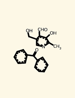 Cc1ncc(CO)c(C=O)c1O.O=C(c1ccccc1)c1ccccc1